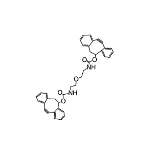 O=C(NCCOCCNC(=O)OC1Cc2ccccc2C#Cc2ccccc21)OC1Cc2ccccc2C#Cc2ccccc21